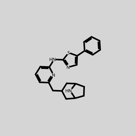 c1ccc(-c2cnc(Nc3cccc(CC4CC5CCC(C4)N5)n3)s2)cc1